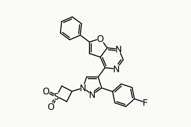 O=S1(=O)CC(n2cc(-c3ncnc4oc(-c5ccccc5)cc34)c(-c3ccc(F)cc3)n2)C1